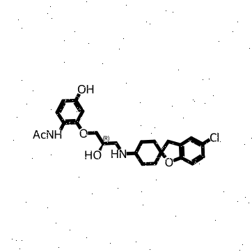 CC(=O)Nc1ccc(O)cc1OC[C@H](O)CNC1CCC2(CC1)Cc1cc(Cl)ccc1O2